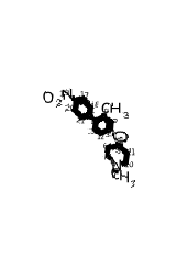 Cc1cc(OC2CCN(C)CC2)ccc1-c1ccc([N+](=O)[O-])cc1